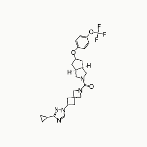 O=C(N1C[C@H]2CC(Oc3ccc(OC(F)(F)F)cc3)C[C@H]2C1)N1CC2(CC(n3cnc(C4CC4)n3)C2)C1